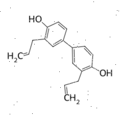 C=CCc1cc(-c2ccc(O)c(CC=C)c2)ccc1O